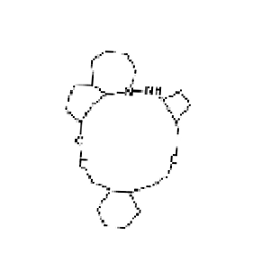 C1CCC2CCCC3CCC4CCCCN(NC5CCC5CCCCC2C1)C4C3